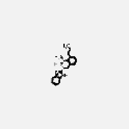 CCCc1cccc(CSc2nc3ccccc3[nH]2)c1N(C)C